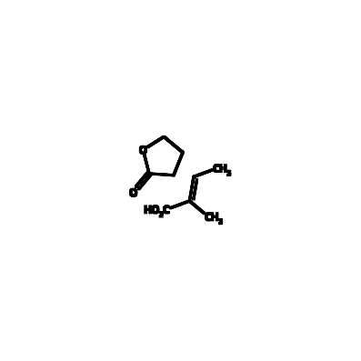 CC=C(C)C(=O)O.O=C1CCCO1